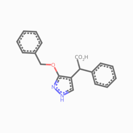 O=C(O)C(c1ccccc1)c1c[nH]nc1OCc1ccccc1